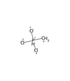 C[PH](Cl)(Cl)Cl